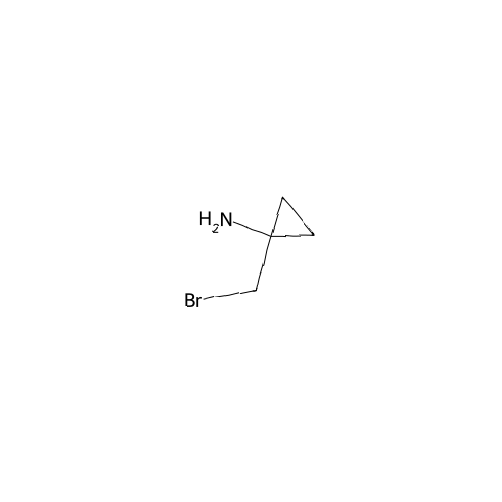 NC1(CBr)CC1